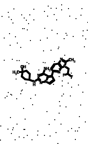 Cc1nc2ccc(-c3ccn4nc(NC5CCC(C)(O)CC5)nc(N)c34)nc2n1CC(F)F